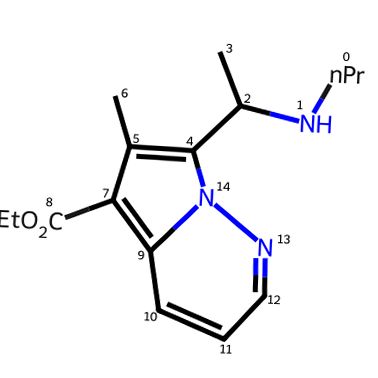 CCCNC(C)c1c(C)c(C(=O)OCC)c2cccnn12